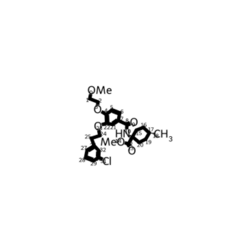 COCCOc1ccc(C(=O)N[C@]2(C(=O)OC)CC[C@H](C)CC2)cc1OCCc1cccc(Cl)c1